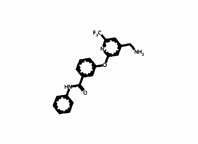 NCc1cc(Oc2cccc(C(=O)Nc3ccccc3)c2)nc(C(F)(F)F)c1